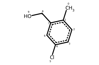 Cc1ccc(Cl)cc1[CH]O